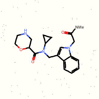 CNC(=O)Cn1cc(CN(C(=O)C2CNCCO2)C2CC2)c2ccccc21